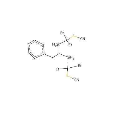 CCC(CC)([SiH2]C(Cc1ccccc1)[SiH2]C(CC)(CC)SC#N)SC#N